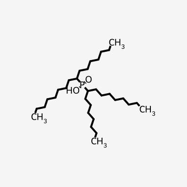 CCCCCCCCC(CCCCCCC)P(=O)(O)C(CCCCCCC)CCCCCCCC